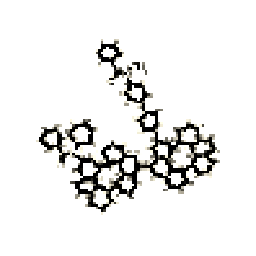 CN(C(=O)c1ccccc1)c1ccc(-c2ccc(-c3cc4c(-c5cc6cccc7c8cc(N(C(=O)c9ccccc9)c9ccccc9)cc9ccc%10cccc(c%11cccc5c%11c67)c%10c98)cc5cccc6c7cccc8ccc9cccc(c(c3)c4c56)c9c87)cc2)cc1